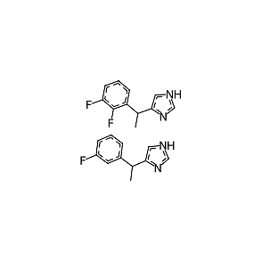 CC(c1c[nH]cn1)c1cccc(F)c1F.CC(c1cccc(F)c1)c1c[nH]cn1